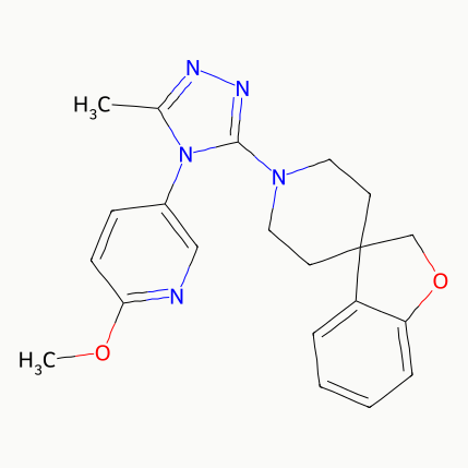 COc1ccc(-n2c(C)nnc2N2CCC3(CC2)COc2ccccc23)cn1